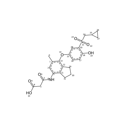 Cc1cc(NC(=O)CC(=O)O)c2c(c1Oc1ccc(O)c(S(=O)(=O)CC3CC3)c1)CCC2